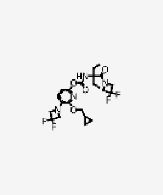 CCC(CC)(NC(=O)Oc1ccc(N2CC(F)(F)C2)c(OCC2CC2)n1)C(=O)N1CC(F)(F)C1